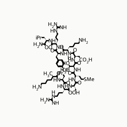 CSCC[C@H](NC(=O)[C@H](CO)NC(=O)[C@H](CCCNC(=N)N)NC(=O)[C@H](CC(C)C)NC(=O)[C@@H](C)CCCCN)C(=O)N[C@H](C(=O)N[C@H](CC(=O)O)C(=O)N[C@@H](CCCCN)C(=O)N[C@@H](Cc1ccc(O)cc1)C(=O)N[C@@H](CCCNC(=N)N)C(=O)N[C@@H](CC(C)C)C(N)=O)[C@@H](C)O